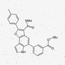 CNC(=O)c1c(-c2ccc(C)cc2)oc2c1cc(-c1cccc(C(=O)OC(C)(C)C)c1)c1[nH]ccc12